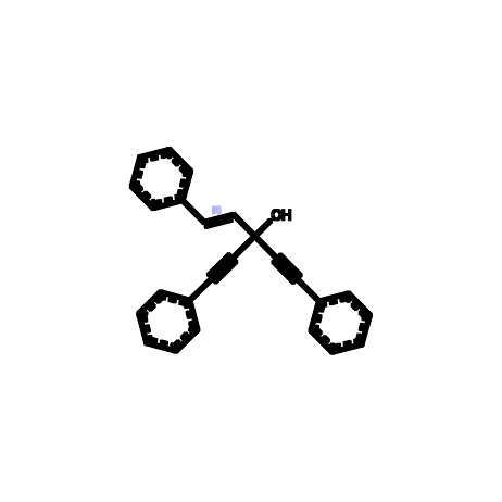 OC(C#Cc1ccccc1)(C#Cc1ccccc1)/C=C/c1ccccc1